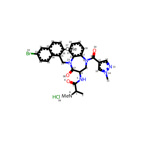 CNC(C)C(=O)NC1CN(C(=O)c2cnn(C)c2)c2ccccc2N(Cc2c(OC)ccc3cc(Br)ccc23)C1=O.Cl